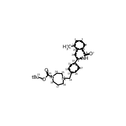 Cc1cccc2c(=O)[nH]c(-c3ccc(CN4CCCN(C(=O)OC(C)(C)C)CC4)cc3)cc12